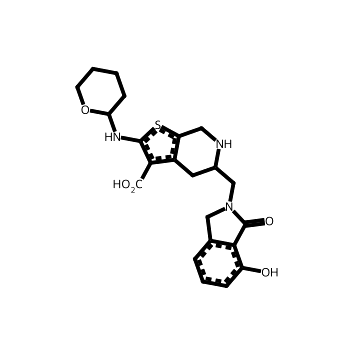 O=C(O)c1c(NC2CCCCO2)sc2c1CC(CN1Cc3cccc(O)c3C1=O)NC2